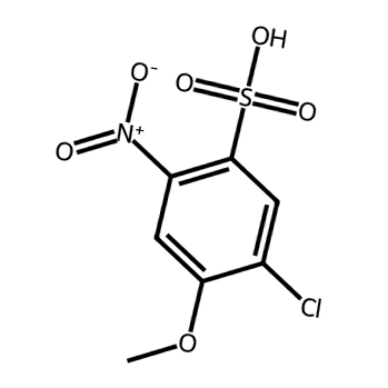 COc1cc([N+](=O)[O-])c(S(=O)(=O)O)cc1Cl